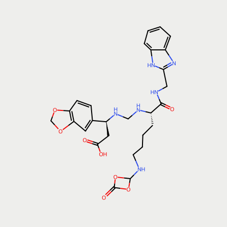 O=C(O)C[C@H](NCN[C@@H](CCCCNC1OC(=O)O1)C(=O)NCc1nc2ccccc2[nH]1)c1ccc2c(c1)OCO2